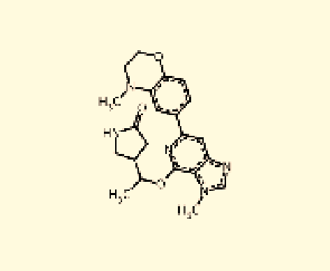 CC(Oc1nc(-c2ccc3c(c2)N(C)CCO3)cc2ncn(C)c12)[C@H]1CNC(=O)C1